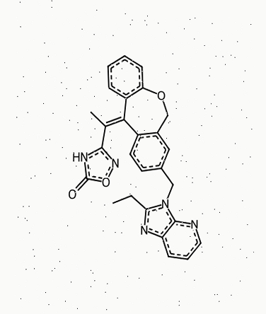 CCc1nc2cccnc2n1Cc1ccc2c(c1)COc1ccccc1C2=C(C)c1noc(=O)[nH]1